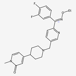 CCO/N=C(\c1ccc(F)c(F)c1)c1ccc(CN2CCC(c3ccn(C)c(=O)c3)CC2)cn1